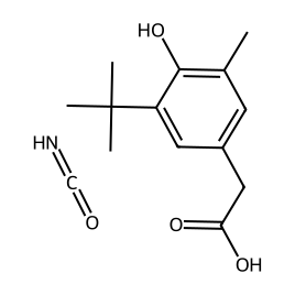 Cc1cc(CC(=O)O)cc(C(C)(C)C)c1O.N=C=O